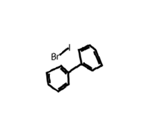 BrI.c1ccc(-c2ccccc2)cc1